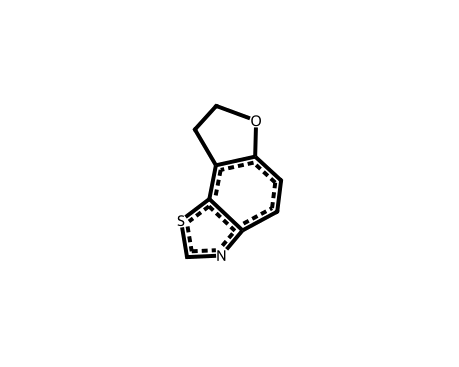 c1nc2ccc3c(c2s1)CCO3